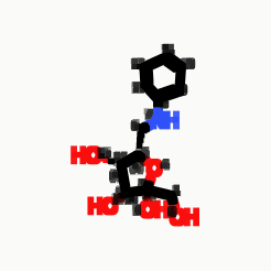 OC[C@@]1(O)O[C@@H](CNc2ccccc2)[C@@H](O)[C@@H]1O